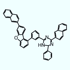 c1ccc(C2N=C(c3ccc4ccccc4c3)N=C(c3cccc(-c4cccc5oc6cc(-c7ccc8ccccc8c7)ccc6c45)c3)N2)cc1